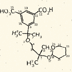 CC(C)(CCOC(C)(C)c1cc(C(=O)O)cc(C(=O)O)c1)OC1CCCCO1